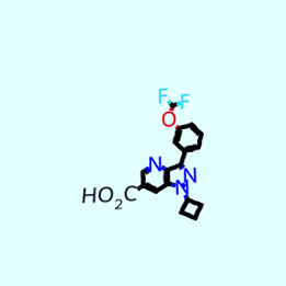 O=C(O)c1cnc2c(-c3cccc(OC(F)F)c3)nn(C3CCC3)c2c1